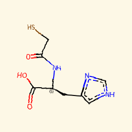 O=C(CS)N[C@@H](Cc1c[nH]cn1)C(=O)O